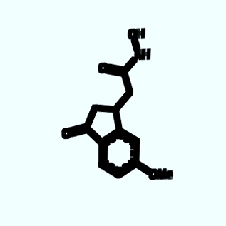 COc1ccc2c(c1)C(CC(=O)NO)CC2=O